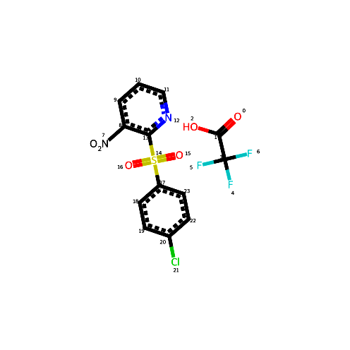 O=C(O)C(F)(F)F.O=[N+]([O-])c1cccnc1S(=O)(=O)c1ccc(Cl)cc1